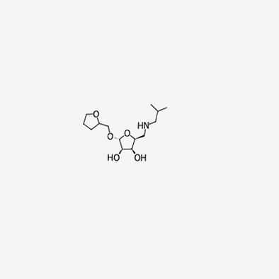 CC(C)CNC[C@@H]1O[C@@H](OCC2CCCO2)[C@H](O)[C@@H]1O